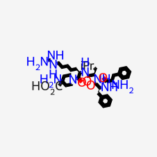 CC(C)C[C@@H](NC(=O)[C@@H](Cc1ccccc1)NC(=O)[C@H](N)Cc1ccccc1)C(=O)N[C@H](CCCCCNC(=N)N)C(=O)N1CCC(N)(C(=O)O)CC1